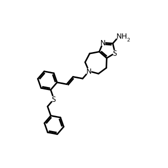 Nc1nc2c(s1)CCN(CC=Cc1ccccc1SCc1ccccc1)CC2